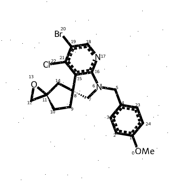 COc1ccc(CN2C[C@@]3(CC[C@]4(CO4)C3)c3c2ncc(Br)c3Cl)cc1